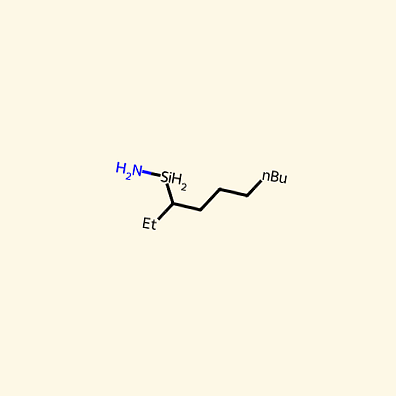 CCCCCCCC(CC)[SiH2]N